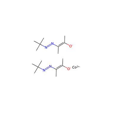 CC([O-])=C(C)N=NC(C)(C)C.CC([O-])=C(C)N=NC(C)(C)C.[Co+2]